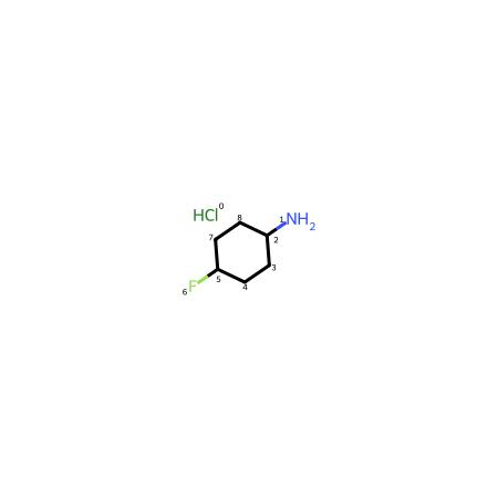 Cl.NC1CCC(F)CC1